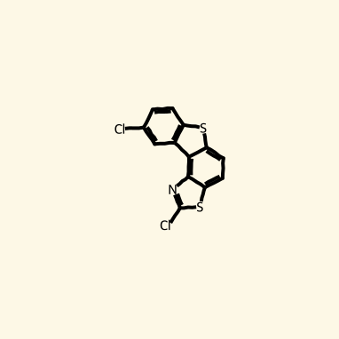 Clc1ccc2sc3ccc4sc(Cl)nc4c3c2c1